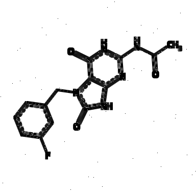 CC(=O)Nc1nc2[nH]c(=O)n(Cc3cccc(F)c3)c2c(=O)[nH]1